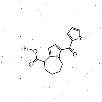 CCCOC(=O)C1CCCCn2c(C(=O)c3cccs3)ccc21